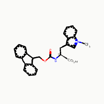 O=C(N[C@@H](Cc1cn(C(F)(F)F)c2ccccc12)C(=O)O)OCC1c2ccccc2-c2ccccc21